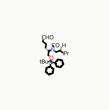 CC(C)CCN(C(=O)O)[C@@H](CCCC=O)CO[Si](c1ccccc1)(c1ccccc1)C(C)(C)C